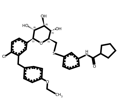 CCOc1ccc(Cc2cc([C@@H]3O[C@H](CSc4cccc(NC(=O)C5CCCC5)c4)[C@@H](O)[C@H](O)[C@H]3O)ccc2Cl)cc1